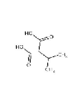 CC(C)CC(=O)O.O=CO